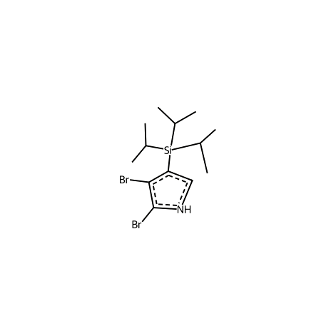 CC(C)[Si](c1c[nH]c(Br)c1Br)(C(C)C)C(C)C